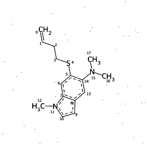 C=CCCSc1cc2c(ccn2C)cc1N(C)C